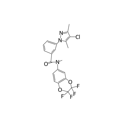 Cc1nn(-c2cccc(C(=O)N(C)c3ccc4c(c3)OC(F)(F)C(F)(F)O4)c2)c(C)c1Cl